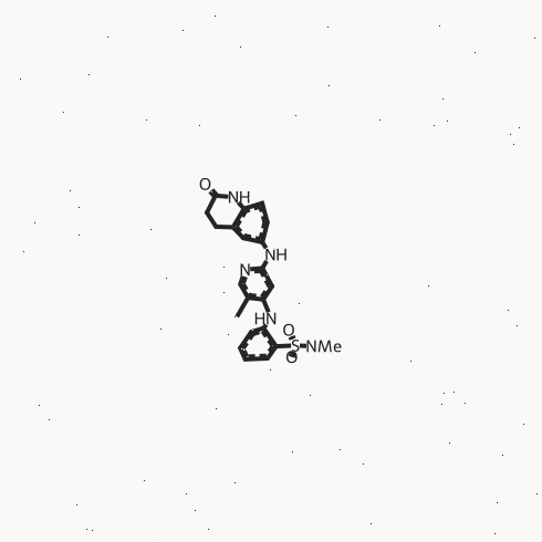 CNS(=O)(=O)c1ccccc1Nc1cc(Nc2ccc3c(c2)CCC(=O)N3)ncc1C